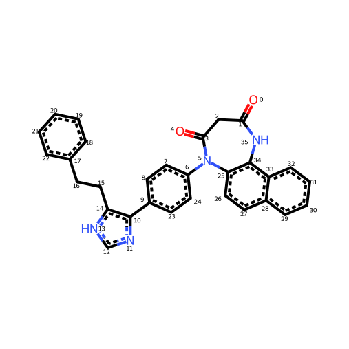 O=C1CC(=O)N(c2ccc(-c3nc[nH]c3CCc3ccccc3)cc2)c2ccc3ccccc3c2N1